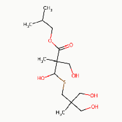 CC(C)COC(=O)C(C)(CO)C(O)SCC(C)(CO)CO